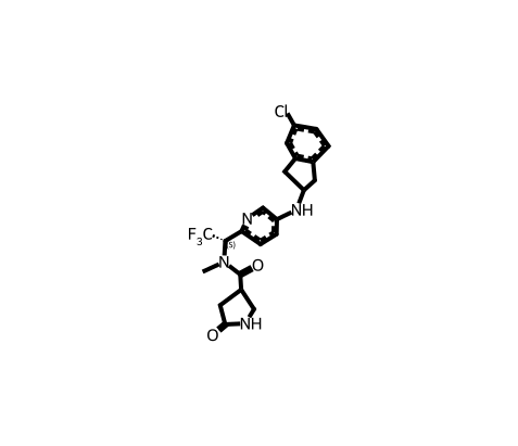 CN(C(=O)C1CNC(=O)C1)[C@@H](c1ccc(NC2Cc3ccc(Cl)cc3C2)cn1)C(F)(F)F